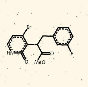 COC(=O)C(Cc1cccc(F)c1)c1c(Br)cc[nH]c1=O